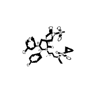 C[C@@H](CCN(C)S(=O)(=O)C1CC1)N1C(=O)[C@](CC=O)(COS(C)(=O)=O)C[C@H](c2cccc(Cl)c2)[C@H]1c1ccc(Cl)cc1